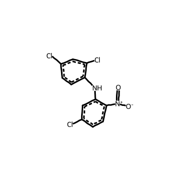 O=[N+]([O-])c1ccc(Cl)cc1Nc1ccc(Cl)cc1Cl